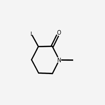 CN1CCCC(I)C1=O